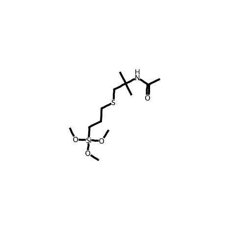 CO[Si](CCCSCC(C)(C)NC(C)=O)(OC)OC